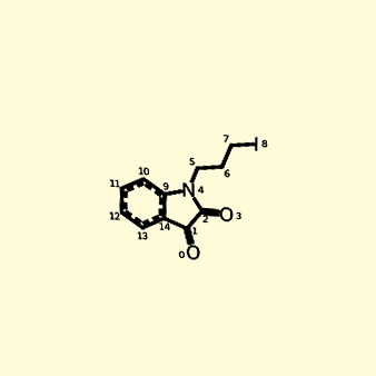 O=C1C(=O)N(CCCI)c2ccccc21